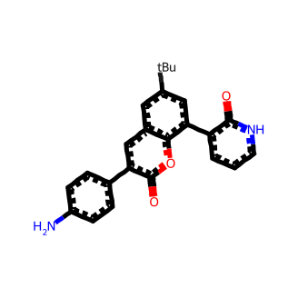 CC(C)(C)c1cc(-c2ccc[nH]c2=O)c2oc(=O)c(-c3ccc(N)cc3)cc2c1